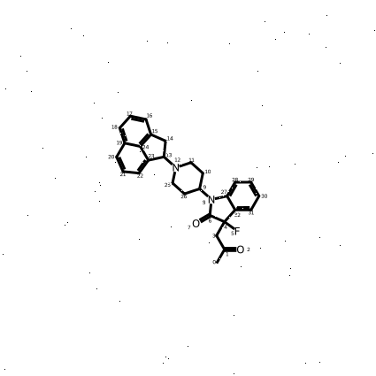 CC(=O)CC1(F)C(=O)N(C2CCN(C3Cc4cccc5cccc3c45)CC2)c2ccccc21